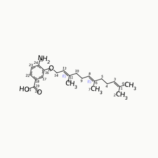 CC(C)=CCC/C(C)=C/CC/C(C)=C/COc1cc(C(=O)O)ccc1N